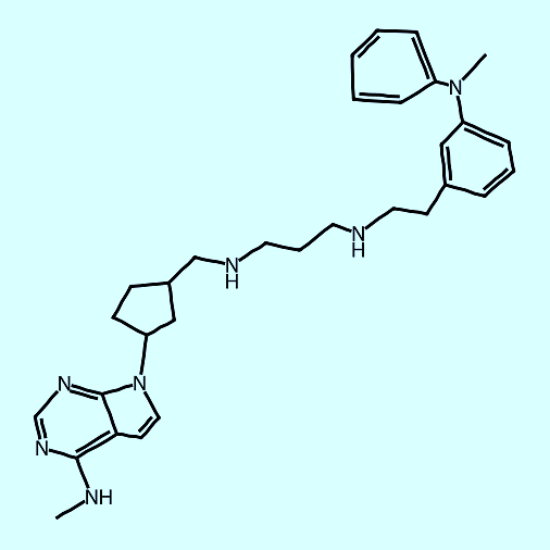 CNc1ncnc2c1ccn2C1CCC(CNCCCNCCc2cccc(N(C)c3ccccc3)c2)C1